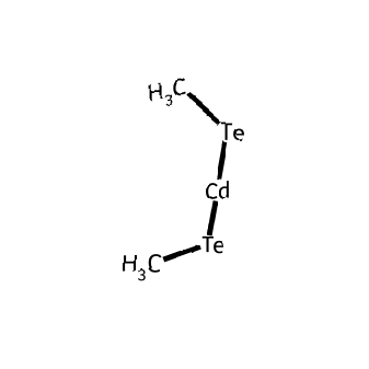 C[Te][Cd][Te]C